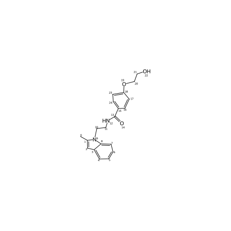 Cc1cc2ccccc2n1CCNC(=O)c1ccc(OCCO)cc1